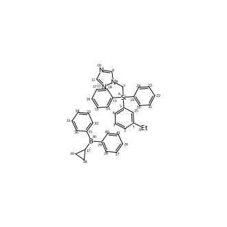 CCc1cccc([Si](Cn2cncn2)(c2ccccc2)c2ccccc2)c1.c1ccc(B(c2ccccc2)C2CC2)cc1